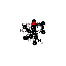 CC(C)(c1ccccc1)c1ccc(Oc2c(Oc3ccc(C(C)(C)c4ccccc4)cc3)c(Oc3ccc(C(C)(C)c4ccccc4)cc3)c3c4nc5nc(nc6[nH]c(nc7nc(nc([nH]4)c3c2Oc2ccc(C(C)(C)c3ccccc3)cc2)-c2ccccc2-7)c2ccccc62)-c2ccccc2-5)cc1.[Cu+2]